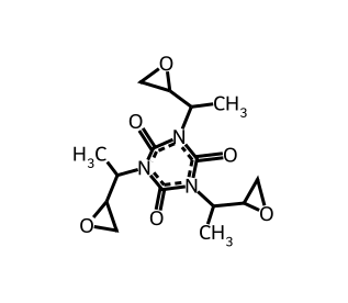 CC(C1CO1)n1c(=O)n(C(C)C2CO2)c(=O)n(C(C)C2CO2)c1=O